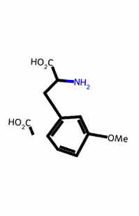 CC(=O)O.COc1cccc(CC(N)C(=O)O)c1